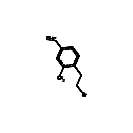 O=Cc1ccc(CCBr)c(C(F)(F)F)c1